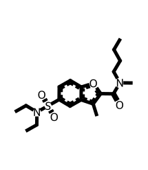 CCCCN(C)C(=O)c1oc2ccc(S(=O)(=O)N(CC)CC)cc2c1C